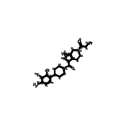 CCc1c(C2CCN(C(=O)c3n[nH]c4c3CCN(C(=O)CC(C)C)C4)CC2)ccc(P)c1F